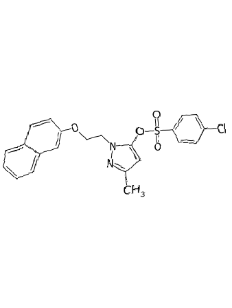 Cc1cc(OS(=O)(=O)c2ccc(Cl)cc2)n(CCOc2ccc3ccccc3c2)n1